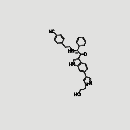 N#Cc1ccc(CCN[C@H](C(=O)c2c[nH]c3cc(-c4cnn(CCO)c4)ccc23)c2ccccc2)cc1